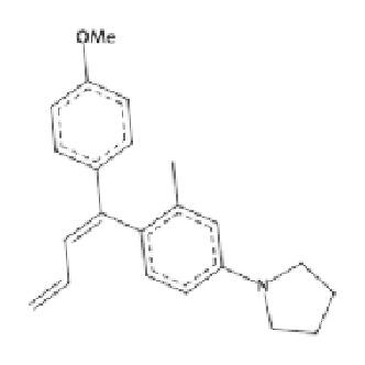 C=C/C=C(/c1ccc(OC)cc1)c1ccc(N2CCCC2)cc1C